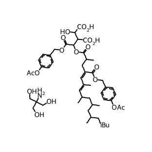 CCC(C)CC(C)CC(C)CC(C)/C=C(C)/C=C(/CC(C)C(=O)OC(C(=O)OCc1ccc(OC(C)=O)cc1)C(C(=O)O)C(O)C(=O)O)C(=O)OCc1ccc(OC(C)=O)cc1.NC(CO)(CO)CO